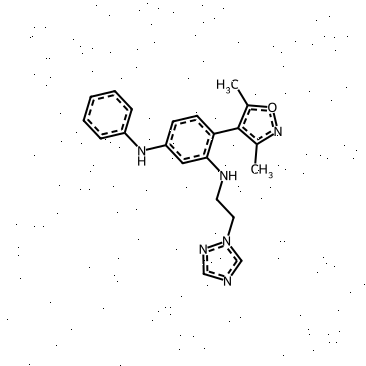 Cc1noc(C)c1-c1ccc(Nc2ccccc2)cc1NCCn1cncn1